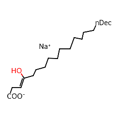 CCCCCCCCCCCCCCCCCCCCCC(O)=CCC(=O)[O-].[Na+]